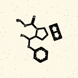 CC(=O)C(Oc1ccccc1)C1CCCN1C(=O)OC(C)(C)C.c1cc2ccc1-2